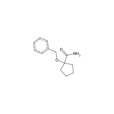 NC(=O)C1(OCc2ccccc2)CCCC1